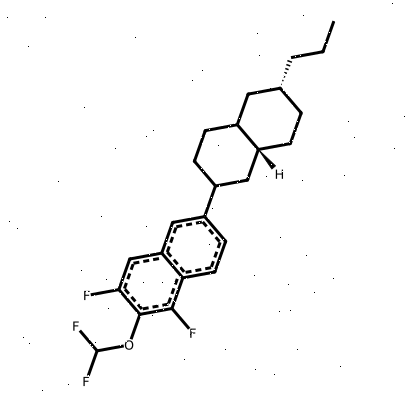 CCC[C@@H]1CC[C@@H]2CC(c3ccc4c(F)c(OC(F)F)c(F)cc4c3)CCC2C1